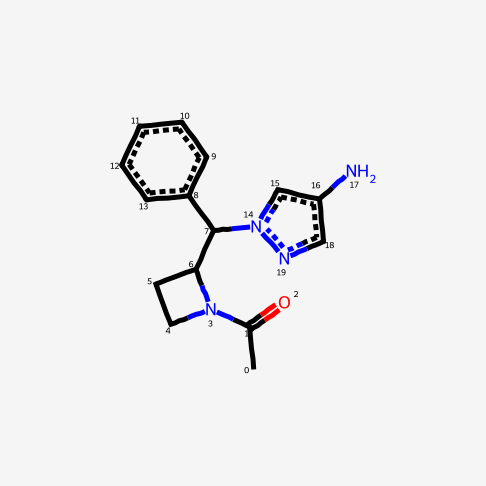 CC(=O)N1CCC1C(c1ccccc1)n1cc(N)cn1